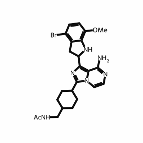 COc1ccc(Br)c2c1NC(c1nc(C3CCC(CNC(C)=O)CC3)n3ccnc(N)c13)C2